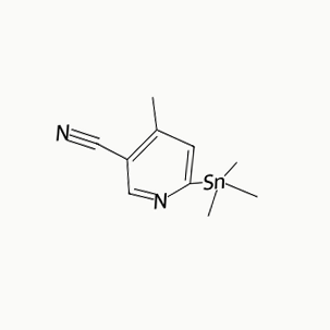 Cc1c[c]([Sn]([CH3])([CH3])[CH3])ncc1C#N